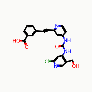 O=C(Nc1ccnc(C#Cc2cccc(C(=O)O)c2)c1)Nc1cc(Cl)ncc1CO